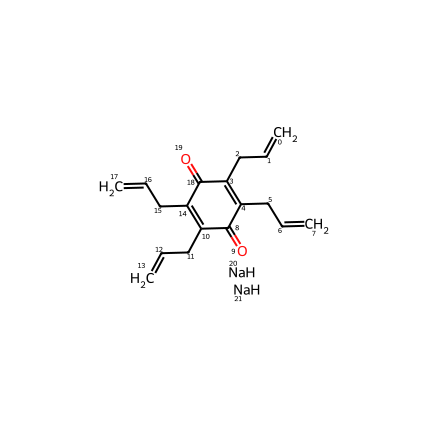 C=CCC1=C(CC=C)C(=O)C(CC=C)=C(CC=C)C1=O.[NaH].[NaH]